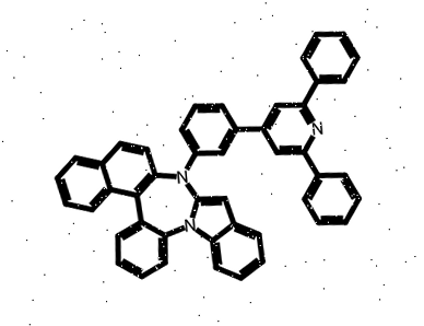 c1ccc(-c2cc(-c3cccc(N4c5ccc6ccccc6c5-c5ccccc5-n5c4cc4ccccc45)c3)cc(-c3ccccc3)n2)cc1